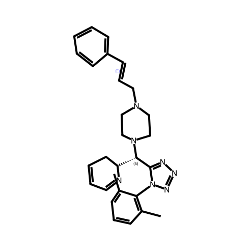 Cc1cccc(C)c1-n1nnnc1[C@H](C1CC=CC=N1)N1CCN(C/C=C/c2ccccc2)CC1